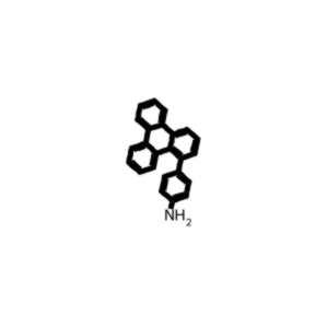 Nc1ccc(-c2cccc3c4ccccc4c4ccccc4c23)cc1